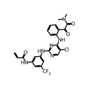 C=CC(=O)Nc1cc(Nc2ncc(Cl)c(Nc3ccccc3C(=O)C(=O)N(C)C)n2)cc(C(F)(F)F)c1